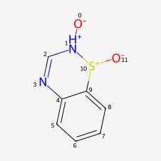 [O-][NH+]1C=Nc2ccccc2[S+]1[O-]